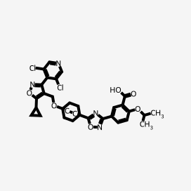 CC(C)Oc1ccc(-c2noc(C34CCC(OCc5c(-c6c(Cl)cncc6Cl)noc5C5CC5)(CC3)CC4)n2)cc1C(=O)O